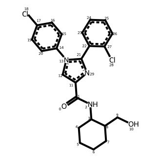 O=C(NC1CCCCC1CO)c1cn(-c2ccc(Cl)cc2)c(-c2ccccc2Cl)n1